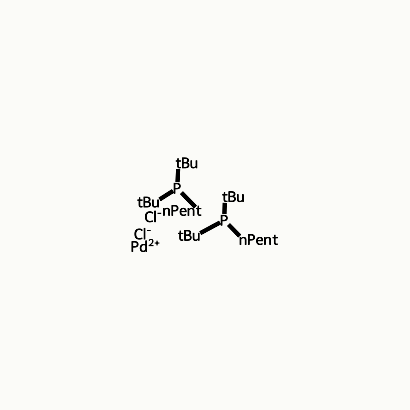 CCCCCP(C(C)(C)C)C(C)(C)C.CCCCCP(C(C)(C)C)C(C)(C)C.[Cl-].[Cl-].[Pd+2]